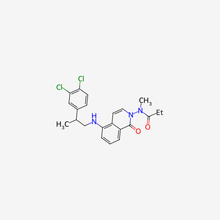 CCC(=O)N(C)n1ccc2c(NCC(C)c3ccc(Cl)c(Cl)c3)cccc2c1=O